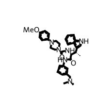 COc1ccc(N2CCN(C(=O)N[C@@H](C(=O)Nc3cccc(CN(C)C)c3)[C@@H](C)c3c[nH]c4ccccc34)CC2)cc1